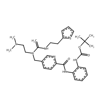 C=C(NCCc1cccs1)N(CCN(C)C)Cc1ccc(C(=O)Nc2ccccc2NC(=O)OC(C)(C)C)nc1